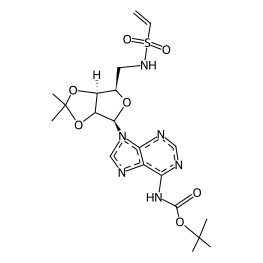 C=CS(=O)(=O)NC[C@H]1O[C@@H](n2cnc3c(NC(=O)OC(C)(C)C)ncnc32)C2OC(C)(C)O[C@H]21